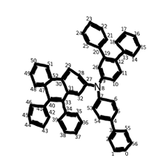 c1ccc(-c2ccc(N(c3ccc(-c4ccccc4)c(-c4ccccc4)c3)c3ccc4c(c3)c(-c3ccccc3)c(-c3ccccc3)c3ccccc34)cc2)cc1